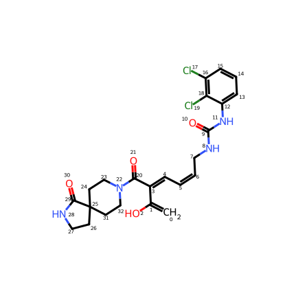 C=C(O)/C(=C\C=C/CNC(=O)Nc1cccc(Cl)c1Cl)C(=O)N1CCC2(CCNC2=O)CC1